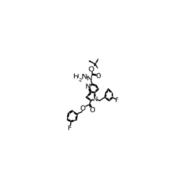 CC(C)(C)OC(=O)N(N)c1ccc2c(cc(C(=O)OCc3cccc(F)c3)n2Cc2cccc(F)c2)n1